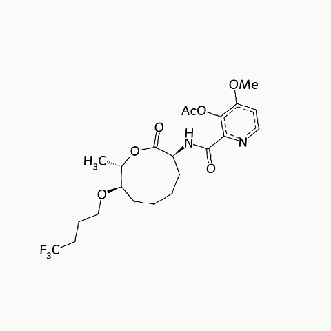 COc1ccnc(C(=O)N[C@H]2CCCC[C@@H](OCCCC(F)(F)F)[C@H](C)OC2=O)c1OC(C)=O